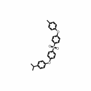 Cc1ccc(Oc2ccc(S(=O)(=O)c3ccc(Oc4ccc(C(C)C)cc4)cc3)cc2)cc1